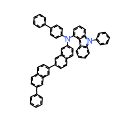 c1ccc(-c2ccc(N(c3ccc4ccc(-c5ccc6ccc(-c7ccccc7)cc6c5)cc4c3)c3cccc4c3c3ccccc3n4-c3ccccc3)cc2)cc1